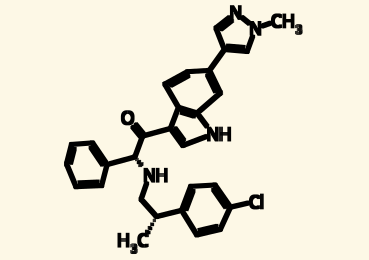 C[C@H](CN[C@@H](C(=O)c1c[nH]c2cc(-c3cnn(C)c3)ccc12)c1ccccc1)c1ccc(Cl)cc1